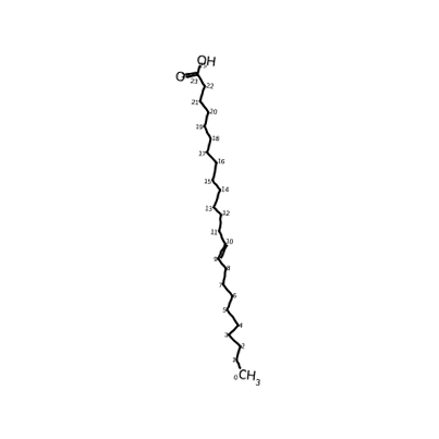 CCCCCCCCCC=CCCCCCCCCCCCCC(=O)O